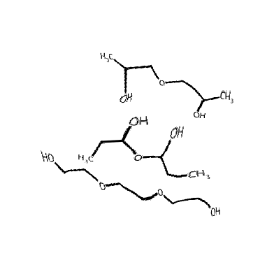 CC(O)COCC(C)O.CCC(O)OC(O)CC.OCCOCCOCCO